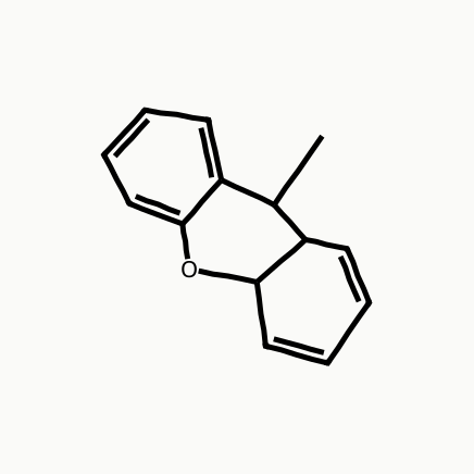 CC1c2ccccc2OC2C=CC=CC21